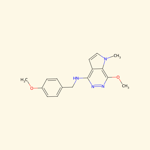 COc1ccc(CNc2nnc(OC)c3c2ccn3C)cc1